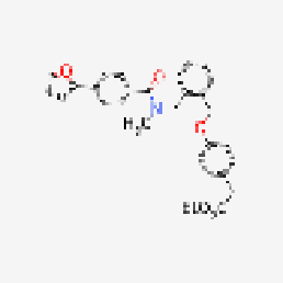 CCOC(=O)Cc1ccc(OCc2ccccc2CN(C)C(=O)c2ccc(-c3ccco3)cc2)cc1